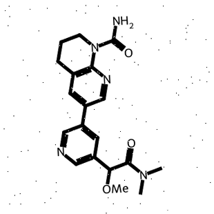 COC(C(=O)N(C)C)c1cncc(-c2cnc3c(c2)CCCN3C(N)=O)c1